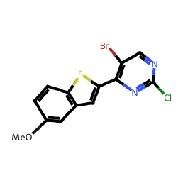 COc1ccc2sc(-c3nc(Cl)ncc3Br)cc2c1